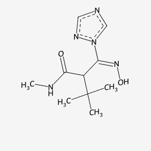 CNC(=O)C(C(=NO)n1cncn1)C(C)(C)C